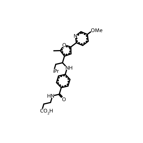 COc1ccc(-c2cc(C(CC(C)C)Nc3ccc(C(=O)NCCC(=O)O)cc3)c(C)o2)nc1